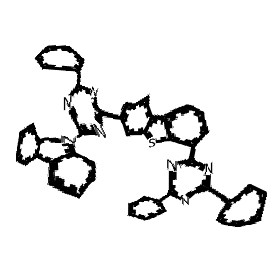 c1ccc(-c2nc(-c3ccccc3)nc(-c3cccc4c3sc3cc(-c5nc(-c6ccccc6)nc(-n6c7ccccc7c7ccccc76)n5)ccc34)n2)cc1